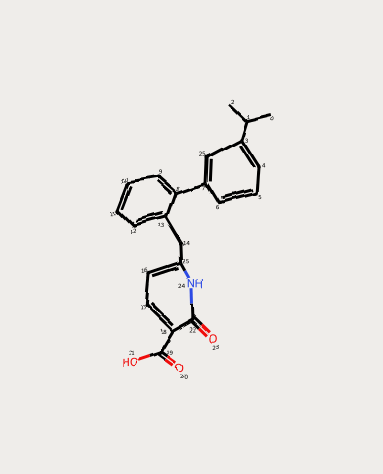 CC(C)c1cccc(-c2ccccc2Cc2ccc(C(=O)O)c(=O)[nH]2)c1